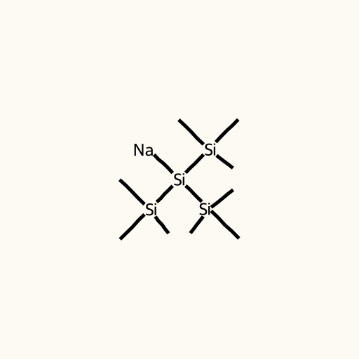 C[Si](C)(C)[Si]([Na])([Si](C)(C)C)[Si](C)(C)C